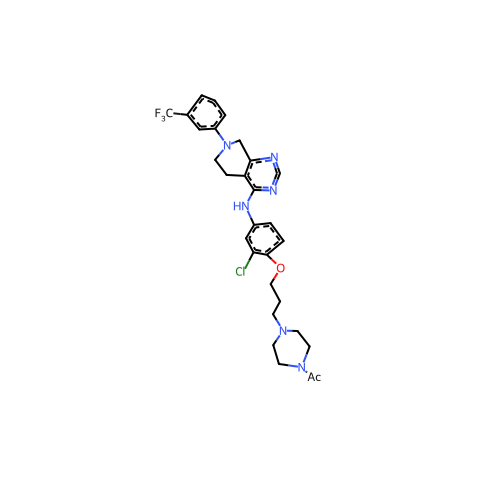 CC(=O)N1CCN(CCCOc2ccc(Nc3ncnc4c3CCN(c3cccc(C(F)(F)F)c3)C4)cc2Cl)CC1